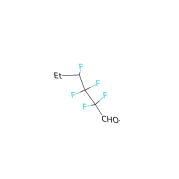 CCC(F)C(F)(F)C(F)(F)[C]=O